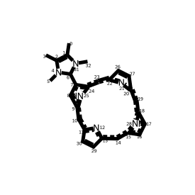 CC1=C(C)N(C)C(c2cc3cc4nc(cc5ccc(cc6nc(cc2[nH]3)C=C6)[nH]5)C=C4)N1C